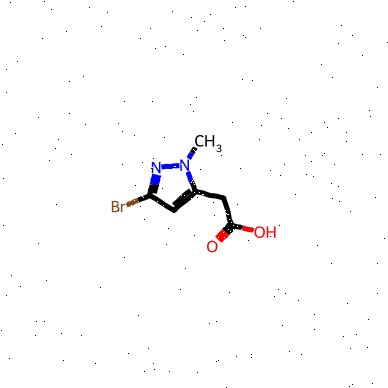 Cn1nc(Br)cc1CC(=O)O